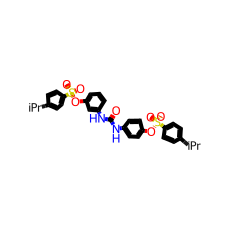 CC(C)c1ccc(S(=O)(=O)Oc2ccc(NC(=O)Nc3cccc(OS(=O)(=O)c4ccc(C(C)C)cc4)c3)cc2)cc1